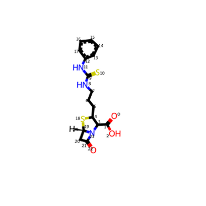 O=C(O)C1C(CCCNC(=S)Nc2ccccc2)S[C@H]2CC(=O)N12